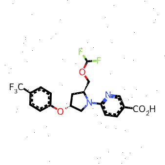 O=C(O)c1ccc(N2C[C@H](Oc3ccc(C(F)(F)F)cc3)C[C@H]2COC(F)F)nc1